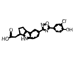 O=C(O)CC1CCc2c1[nH]c1ccc(-c3noc(-c4ccc(O)c(Cl)c4)n3)cc21